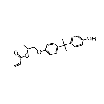 C=CC(=O)OC(C)COc1ccc(C(C)(C)c2ccc(O)cc2)cc1